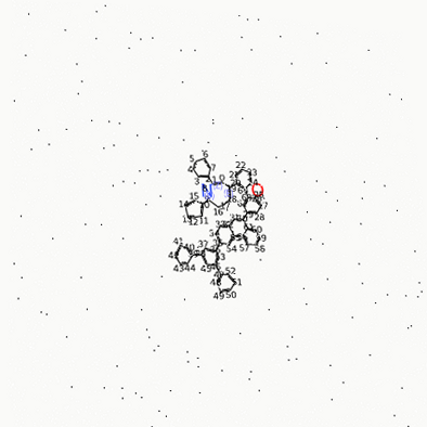 C1=C(c2ccccc2)\N=C(\c2ccccc2)CC\C=C/1c1cccc2oc3ccc(C4Cc5ccc(-c6cc(-c7ccccc7)cc(-c7ccccc7)c6)cc5-c5ccccc54)cc3c12